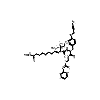 CC#CCOc1ccc(C[C@H](NC(=O)[C@@H](/C=C/CCCCCCC(=O)CCCCCCC)[C@@](O)(CC(=O)O)C(=O)O)C(=O)OCOC(=O)Oc2ccccc2)cc1